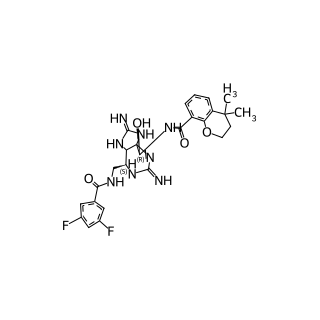 CC1(C)CCOc2c(C(=O)NC3CN4C(=N)N[C@@H](CNC(=O)c5cc(F)cc(F)c5)C5NC(=N)NC54[C@@H]3O)cccc21